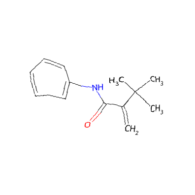 C=C(C(=O)Nc1ccccc1)C(C)(C)C